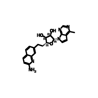 Cc1ncnc2c1ccn2[C@@H]1O[C@H](CCc2ccc3ccc(N)nc3c2)[C@@H](O)[C@H]1O